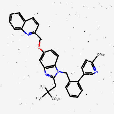 COc1ccc(-c2ccccc2Cn2c(CC(C)(C)C(=O)O)nc3cc(OCc4ccc5ccccc5n4)ccc32)cn1